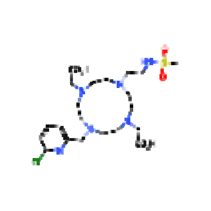 CS(=O)(=O)NCCN1CCN(CC(=O)O)CCN(Cc2cccc(Cl)n2)CCN(CC(=O)O)CC1